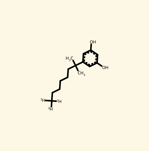 [2H]C([2H])([2H])CCCCCC(C)(C)c1cc(O)cc(O)c1